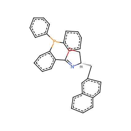 c1ccc(P(c2ccccc2)c2ccccc2C2=N[C@@H](Cc3ccc4ccccc4c3)CO2)cc1